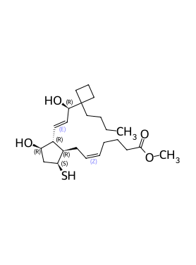 CCCCC1([C@H](O)/C=C/[C@@H]2[C@@H](C/C=C\CCCC(=O)OC)[C@@H](S)C[C@H]2O)CCC1